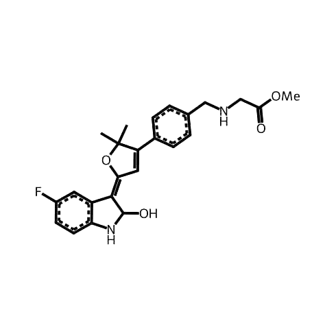 COC(=O)CNCc1ccc(C2=C/C(=C3/c4cc(F)ccc4NC3O)OC2(C)C)cc1